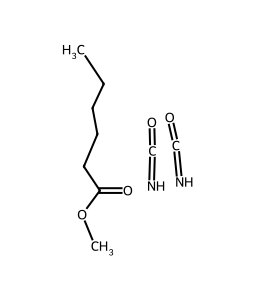 CCCCCC(=O)OC.N=C=O.N=C=O